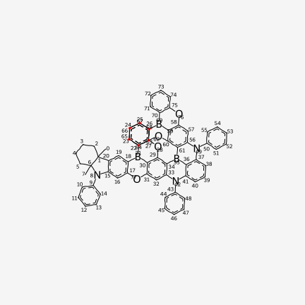 CC12CCCCC1(C)N(c1ccccc1)c1cc3c(cc12)B1c2ccccc2Oc2c1c(cc1c2B2c4c(cccc4N1c1ccccc1)N(c1ccccc1)c1cc4c5c(c12)Oc1ccccc1B5c1ccccc1O4)O3